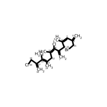 C=C(C=C(C)CC(=C)C(Cl)=C(C)CC(C)=C(C)C(=C)CCl)CBr